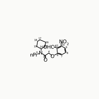 CCCN(C(=O)COc1cccc([N+](=O)[O-])c1C=O)C1CCCCC1